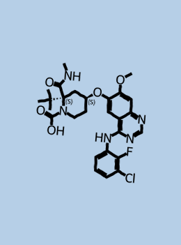 CNC(=O)[C@@]1(C(C)(C)C)C[C@@H](Oc2cc3c(Nc4cccc(Cl)c4F)ncnc3cc2OC)CCN1C(=O)O